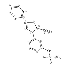 CC(C)(C)[Si](C)(C)Oc1cccc(C2C=C(c3ccccc3)CN2C(=O)O)c1